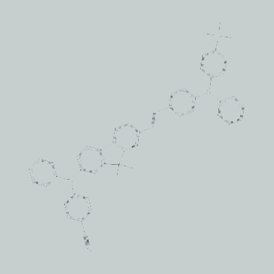 CC1(C)c2cc(/C=C/c3ccc(N(c4ccccc4)c4ccc([Si](C)(C)C)cc4)cc3)ccc2-c2ccc(N(c3ccccc3)c3ccc(C#N)cc3)cc21